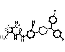 Cc1noc(C)c1NC(=O)Nc1ccc(N2CCN(C(c3ccc(F)cc3)c3ccc(F)cc3)CC2)c(C#N)c1